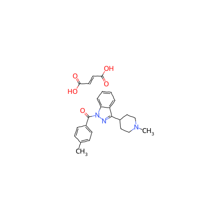 Cc1ccc(C(=O)n2nc(C3CCN(C)CC3)c3ccccc32)cc1.O=C(O)C=CC(=O)O